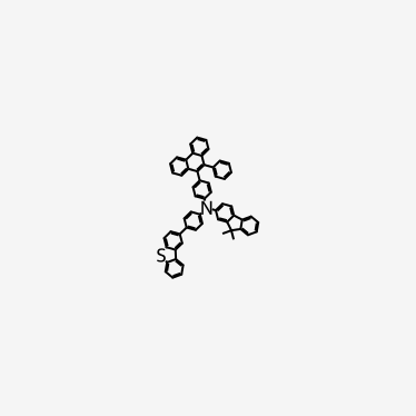 CC1(C)c2ccccc2-c2ccc(N(c3ccc(-c4ccc5sc6ccccc6c5c4)cc3)c3ccc(-c4c(-c5ccccc5)c5ccccc5c5ccccc45)cc3)cc21